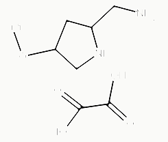 CC(C)OC1CNC(CN)C1.O=C(O)C(=O)O